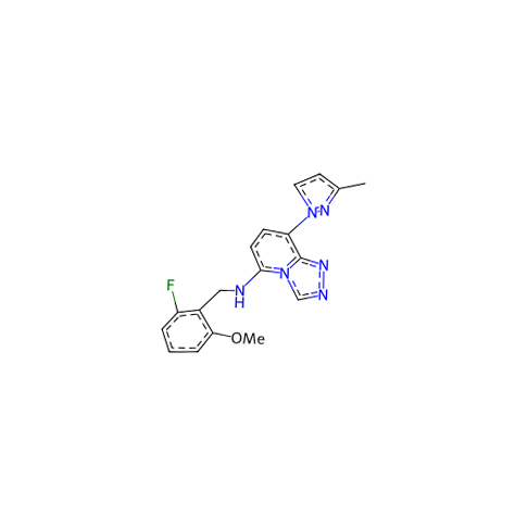 COc1cccc(F)c1CNc1ccc(-n2ccc(C)n2)c2nncn12